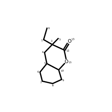 CCC1(C)CC2CCCCC2OC1=O